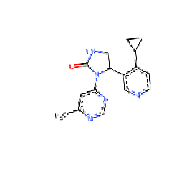 Cc1cc(N2C(=O)NCC2c2cnccc2C2CC2)ncn1